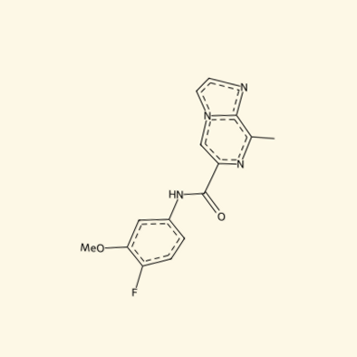 COc1cc(NC(=O)c2cn3ccnc3c(C)n2)ccc1F